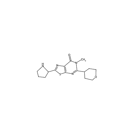 Cn1c(C2CCOCC2)nc2sc(C3CCCN3)nc2c1=O